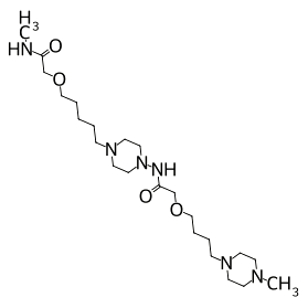 CNC(=O)COCCCCCN1CCN(NC(=O)COCCCCN2CCN(C)CC2)CC1